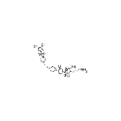 NCCCCC(NS(=O)(=O)c1ccc(N2CCC(CCCC3CCN(S(=O)(=O)c4cc(Br)c(Cl)s4)CC3)CC2)c(Cl)c1)C(=O)O